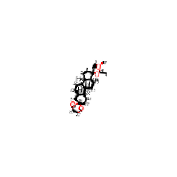 C#C[C@]1(OC(C)OC)CC[C@H]2[C@@H]3CC=C4CC5(CC[C@]4(C)[C@H]3CC[C@@]21C)OCCO5